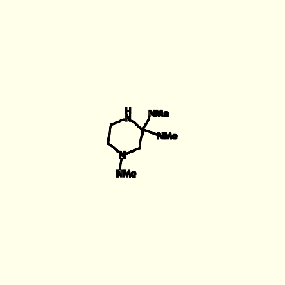 CNN1CCNC(NC)(NC)C1